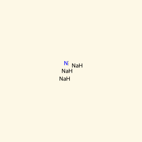 [N].[NaH].[NaH].[NaH]